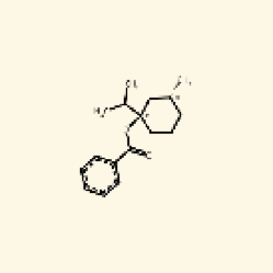 CC(C)[C@@]1(OC(=O)c2ccccc2)CCC[C@@H](C)C1